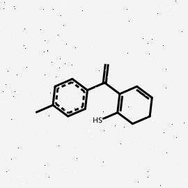 C=C(C1=C(S)CCC=C1)c1ccc(C)cc1